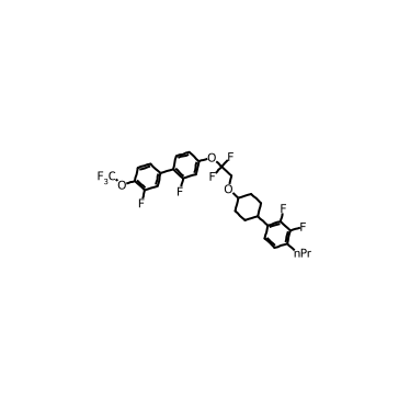 CCCc1ccc(C2CCC(OCC(F)(F)Oc3ccc(-c4ccc(OC(F)(F)F)c(F)c4)c(F)c3)CC2)c(F)c1F